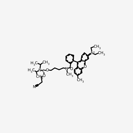 CC[N+](CC)=c1ccc2c(-c3ccccc3C(=O)N(C)CCCCOP(OCCC#N)N(C(C)C)C(C)C)c3ccc(C)cc3oc-2c1